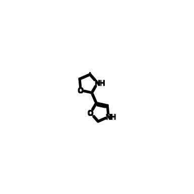 [CH]1COC(C2=CNCO2)N1